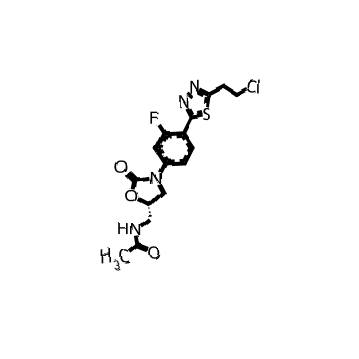 CC(=O)NC[C@H]1CN(c2ccc(-c3nnc(CCCl)s3)c(F)c2)C(=O)O1